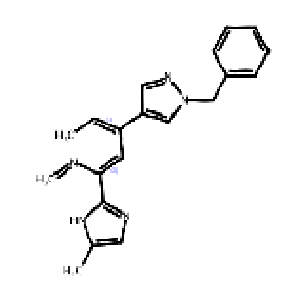 C=N/C(=C\C(=C/C)c1cnn(Cc2ccccc2)c1)c1ncc(C)[nH]1